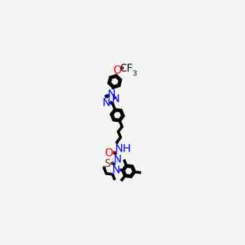 Cc1cc(C)c(N2/C(=N/C(=O)NCCCCc3ccc(-c4ncn(-c5ccc(OC(F)(F)F)cc5)n4)cc3)SCCC2C)c(C)c1